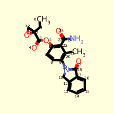 CCC1(C(=O)Oc2ccc(N3Cc4ccccc4C3=O)c(C)c2C(N)=O)CO1